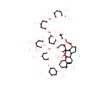 C[C@H](CC[C@@H](O[C@@H]1O[C@H](CO[C@H]2O[C@H](CO[C@H]3O[C@H](CO)[C@@H](O)C[C@H]3O)[C@@H](O)[C@H](O)[C@H]2O)[C@@H](O[C@H]2OC[C@@H](O)[C@H](O)[C@H]2O)[C@H](O)[C@H]1O[C@H]1C[C@@H](O)C[C@@H](CO)O1)C(C)(C)O)C1CC[C@@]2(C)C3CC=C4C(CC[C@H](O[C@@H]5C[C@H](CO[C@H]6O[C@H](CO)[C@@H](O)[C@H](O)[C@H]6O)[C@@H](O)[C@H](O)[C@H]5O)C4(C)C)[C@]3(C)[C@H](O)C[C@]12C